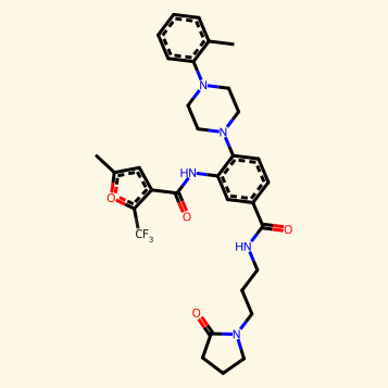 Cc1cc(C(=O)Nc2cc(C(=O)NCCCN3CCCC3=O)ccc2N2CCN(c3ccccc3C)CC2)c(C(F)(F)F)o1